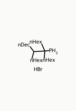 Br.CCCCCCCCCCC(CCCCCC)C(P)(CCCCCC)CCCCCC